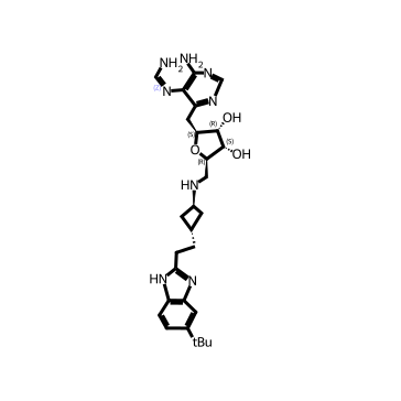 CC(C)(C)c1ccc2[nH]c(CC[C@H]3C[C@H](NC[C@H]4O[C@@H](Cc5ncnc(N)c5/N=C\N)[C@H](O)[C@@H]4O)C3)nc2c1